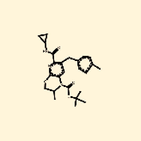 CC1COc2nc(C(=O)NC3CC3)c(Cc3ccc(F)cc3)cc2N1C(=O)OC(C)(C)C